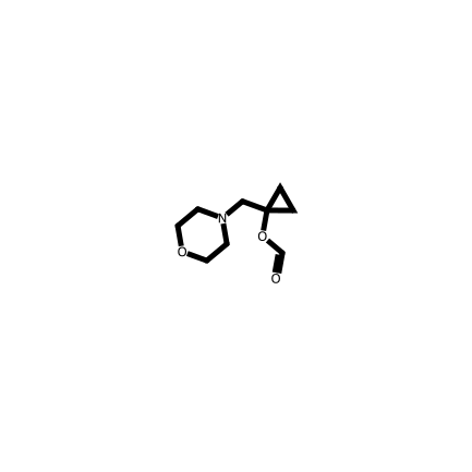 O=COC1(CN2CCOCC2)CC1